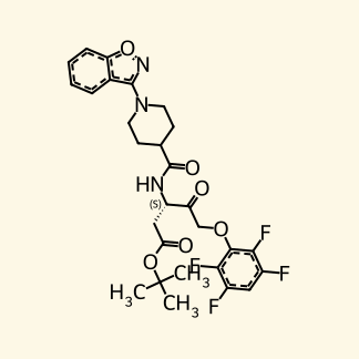 CC(C)(C)OC(=O)C[C@H](NC(=O)C1CCN(c2noc3ccccc23)CC1)C(=O)COc1c(F)c(F)cc(F)c1F